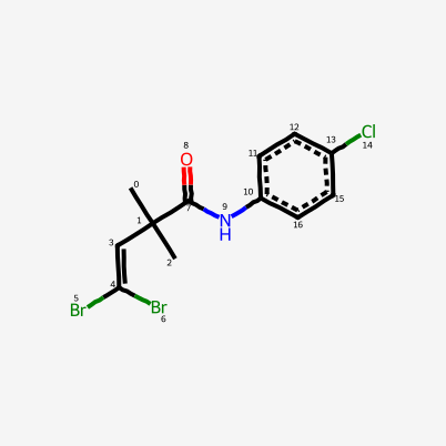 CC(C)(C=C(Br)Br)C(=O)Nc1ccc(Cl)cc1